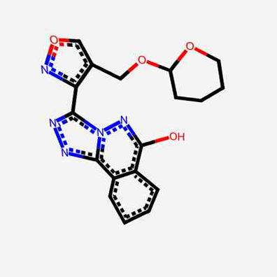 Oc1nn2c(-c3nocc3COC3CCCCO3)nnc2c2ccccc12